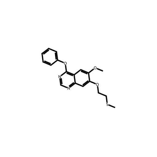 COc1cc2c(Oc3ccccc3)ncnc2cc1OCCSC